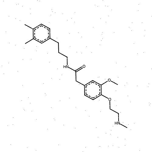 CNCCOc1ccc(CC(=O)NCCCc2ccc(C)c(C)c2)cc1OC